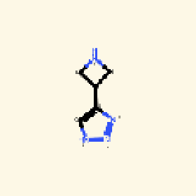 c1[nH]nnc1C1CNC1